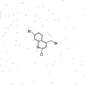 Clc1cc(CBr)c2ccc(Br)cc2n1